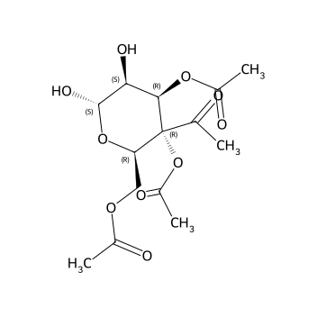 CC(=O)OC[C@H]1O[C@H](O)[C@@H](O)[C@@H](OC(C)=O)[C@@]1(OC(C)=O)C(C)=O